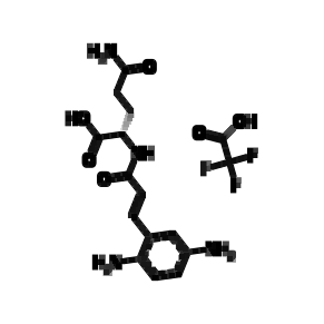 NC(=O)CC[C@H](NC(=O)/C=C/c1cc(N)ccc1N)C(=O)O.O=C(O)C(F)(F)F